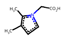 Cc1ccn(CC(=O)O)c1C